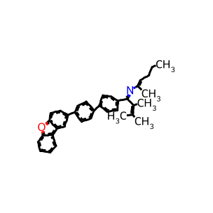 CCC/C=C(C)/N=C(\C(C)=C(C)C)c1ccc(-c2ccc(-c3ccc4oc5ccccc5c4c3)cc2)cc1